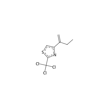 C=C(CC)c1csc(C(Cl)(Cl)Cl)n1